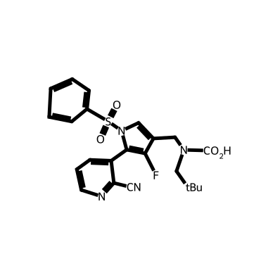 CC(C)(C)CN(Cc1cn(S(=O)(=O)c2ccccc2)c(-c2cccnc2C#N)c1F)C(=O)O